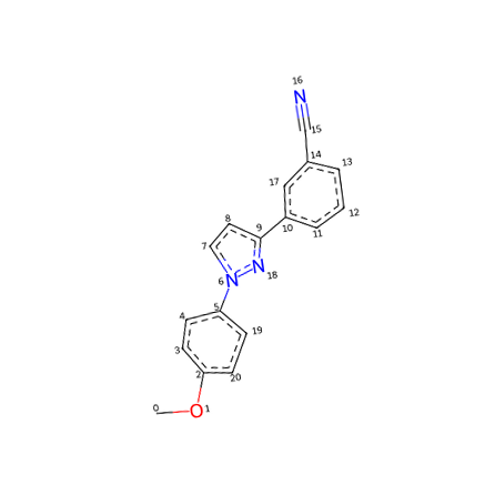 COc1ccc(-n2ccc(-c3cccc(C#N)c3)n2)cc1